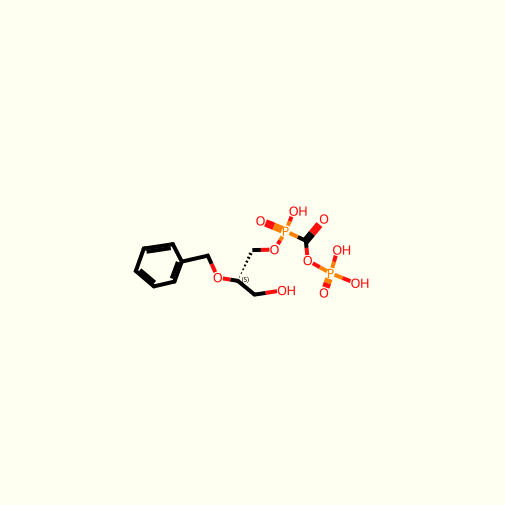 O=C(OP(=O)(O)O)P(=O)(O)OC[C@H](CO)OCc1ccccc1